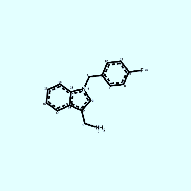 NCc1cn(Cc2ccc(F)cc2)c2ccccc12